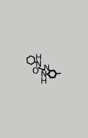 Cc1ccc2[nH]c(C(=O)NC3CCCCC3)nc2c1